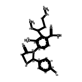 COCCC(OC)c1c(C(=O)O)ccc(N2C(=O)CSC2c2ccc(F)cc2)c1C